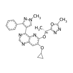 Cc1nnc([C@@H](C)Oc2nc3c(-c4cn(C)nc4-c4ccccc4)ncnc3cc2OC2CC2)o1